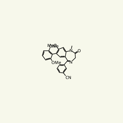 COc1cc2c(cc1-c1c(OC)cccc1OC)C(c1cccc(C#N)c1)=NCC(=O)N2C